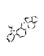 CCCCCN(Cc1nccc2c1C(C)c1ccccc1-2)C1CCCc2cccnc21